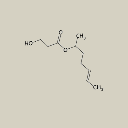 CC=CCCC(C)OC(=O)CCO